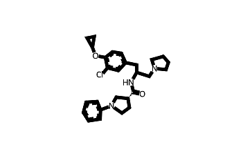 O=C(NC(Cc1ccc(OC2CC2)c(Cl)c1)CN1CCCC1)[C@@H]1CCN(c2ccccc2)C1